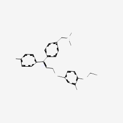 Cc1cc(OC/C=C(/c2ccc(F)cc2)c2ccc(CN(C)C)cc2)ccc1OCC(=O)O